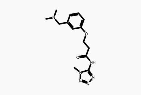 CN(C)Cc1cccc(OCCC(=O)Nc2nnnn2C)c1